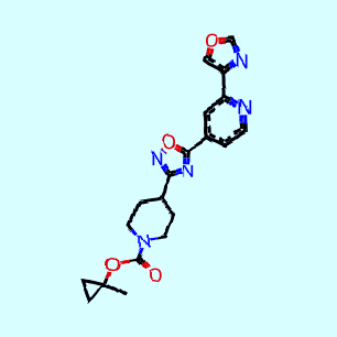 CC1(OC(=O)N2CCC(c3noc(-c4ccnc(-c5cocn5)c4)n3)CC2)CC1